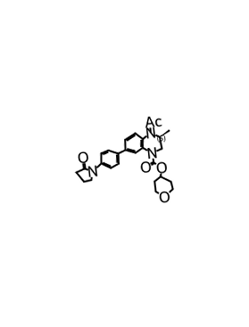 CC(=O)N1c2ccc(-c3ccc(N4CCCC4=O)cc3)cc2N(C(=O)OC2CCOCC2)C[C@@H]1C